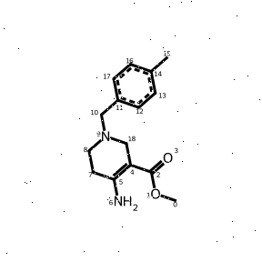 COC(=O)C1=C(N)CCN(Cc2ccc(C)cc2)C1